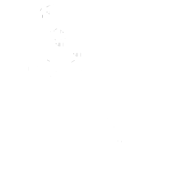 COCCOCCOCCOCCOCCOCCOCCOCCOCC(=O)NCCCC[C@H](NC(=O)CCCN1C(=O)C=CC1=O)C(=O)NCCCC(=O)OC(C)(C)C